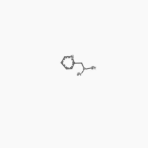 CC(C)P(Cc1ccccn1)C(C)C